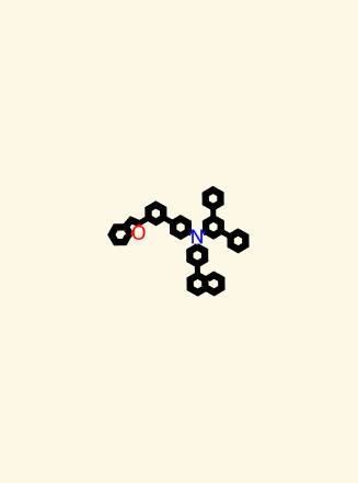 c1ccc(-c2cc(-c3ccccc3)cc(N(c3ccc(-c4cccc(-c5cc6ccccc6o5)c4)cc3)c3ccc(-c4cccc5ccccc45)cc3)c2)cc1